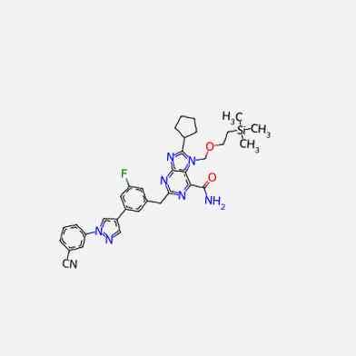 C[Si](C)(C)CCOCn1c(C2CCCC2)nc2nc(Cc3cc(F)cc(-c4cnn(-c5cccc(C#N)c5)c4)c3)nc(C(N)=O)c21